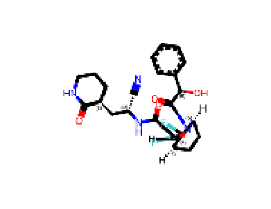 N#C[C@@H](C[C@@H]1CCCNC1=O)NC(=O)[C@H]1[C@@H]2CC[C@@H](CC2(F)F)N1C(=O)[C@H](O)c1ccccc1